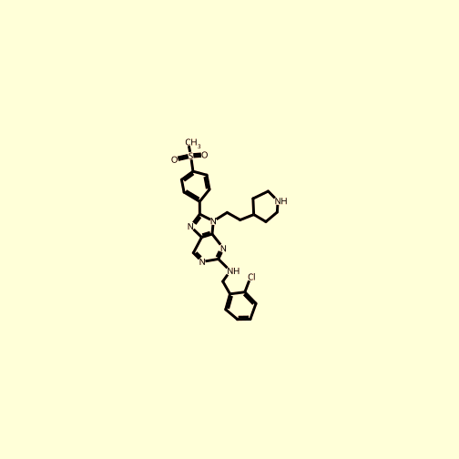 CS(=O)(=O)c1ccc(-c2nc3cnc(NCc4ccccc4Cl)nc3n2CCC2CCNCC2)cc1